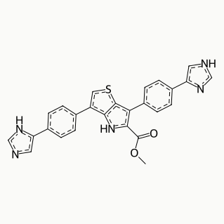 COC(=O)c1[nH]c2c(-c3ccc(-c4cnc[nH]4)cc3)csc2c1-c1ccc(-c2c[nH]cn2)cc1